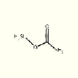 NC(=O)[O][SbH2]